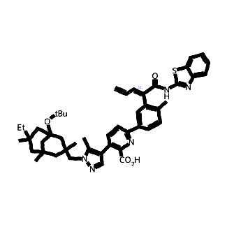 C=C/C=C(/C(=O)Nc1nc2ccccc2s1)c1cc(-c2ccc(-c3cnn(CC4(C)CC5(C)CC(C)(CC)CC(OC(C)(C)C)(C4)C5)c3C)c(C(=O)O)n2)ccc1C